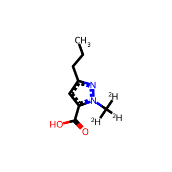 [2H]C([2H])([2H])n1nc(CCC)cc1C(=O)O